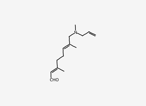 C=CCN(C)C/C(C)=C/CC/C(C)=C/C=O